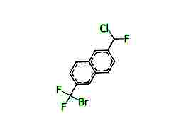 FC(Cl)c1ccc2cc(C(F)(F)Br)ccc2c1